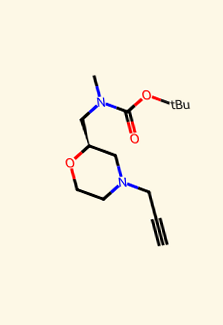 C#CCN1CCO[C@@H](CN(C)C(=O)OC(C)(C)C)C1